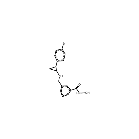 O=C(NO)c1cccc(CNC2CC2c2ccc(Br)cc2)c1